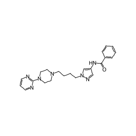 O=C(Nc1cnn(CCCCN2CCN(c3ncccn3)CC2)c1)c1ccccc1